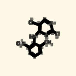 Cc1cccc([N+](=O)[O-])c1Nc1nc(Cl)ncc1Cl